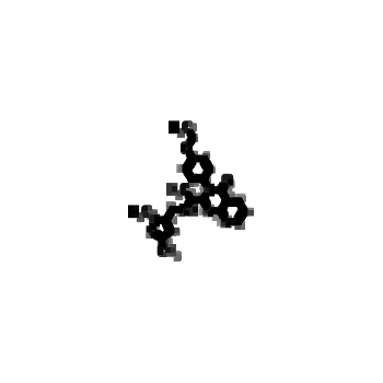 CCOc1ccc(-n2c(C(C)NCc3cc(C)nn3C)nc3ncccc3c2=O)cc1